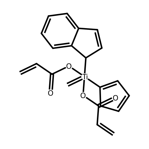 C=CC(=O)[O][Ti](=[CH2])([O]C(=O)C=C)([C]1=CC=CC1)[CH]1C=Cc2ccccc21